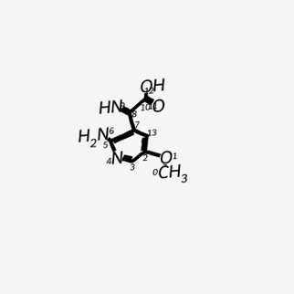 COc1cnc(N)c(C(=N)C(=O)O)c1